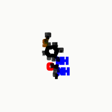 [CH2]NC(=O)Nc1ccc(SC)cc1